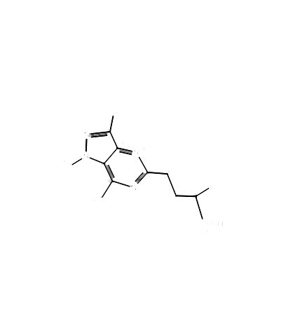 CCCc1nn(C)c2c(Cl)nc(CCC(C)C(=O)O)nc12